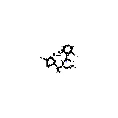 C=C(c1ccc(F)cc1)N(COC)/N=C(\F)c1c(F)cccc1C(=O)O